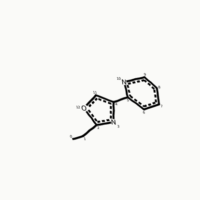 CCc1nc(-c2ccccn2)co1